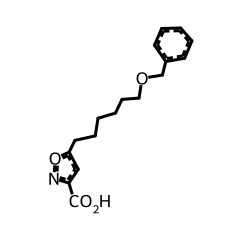 O=C(O)c1cc(CCCCCCOCc2ccccc2)on1